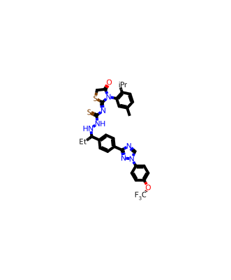 CCC(NNC(=S)/N=C1\SCC(=O)N1c1cc(C)ccc1C(C)C)c1ccc(-c2ncn(-c3ccc(OC(F)(F)F)cc3)n2)cc1